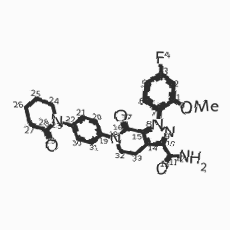 COc1cc(F)ccc1-n1nc(C(N)=O)c2c1C(=O)N(c1ccc(N3CCCCC3=O)cc1)CC2